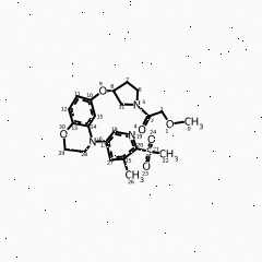 COCC(=O)N1CC[C@H](Oc2ccc3c(c2)N(c2cnc(S(C)(=O)=O)c(C)c2)CCO3)C1